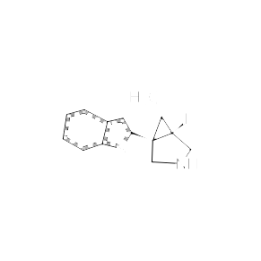 C[C@@H]1[C@@H]2CNC[C@]12c1cc2ccccc2s1